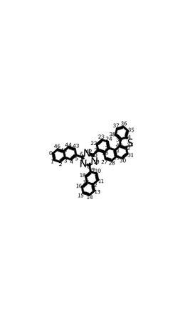 c1ccc2cc(-c3nc(-c4ccc5ccccc5c4)nc(-c4cccc5c4ccc4ccc6sc7ccccc7c6c45)n3)ccc2c1